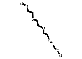 CCOCCSCCOCCSCCOCC